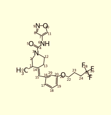 CC1CN(C(=O)Nc2cnoc2)CC/C1=C\c1cccc(OCCCC(F)(F)F)c1